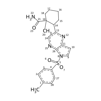 Cc1ccc(S(=O)(=O)n2ccc3nc(C4CCCCC4(C)C(N)=O)cnc32)cc1